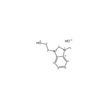 CN1CN(CCO)c2ccccc21.Cl